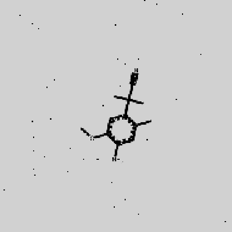 COc1cc(C(C)(C)C#N)c(C)cc1N